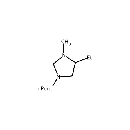 CCCCCN1CC(CC)N(C)C1